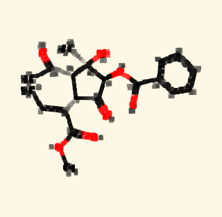 C/C=C(/C(=O)OC)[C@H]1C(=O)[C@H](OC(=O)c2ccccc2)[C@](C)(O)[C@H]1C(C)=O